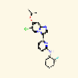 CC(C)Oc1cc2ncc(-c3cccc(N[C@H]4CCCC[C@@H]4F)n3)n2cc1Cl